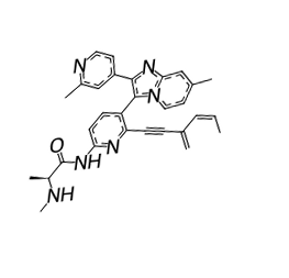 C=C(C#Cc1nc(NC(=O)[C@H](C)NC)ccc1-c1c(-c2ccnc(C)c2)nc2cc(C)ccn12)/C=C\C